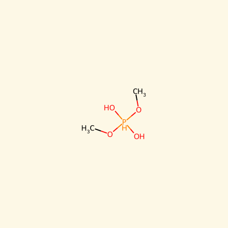 CO[PH](O)(O)OC